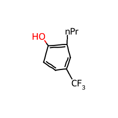 CCCc1cc(C(F)(F)F)ccc1O